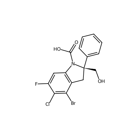 O=C(O)N1c2cc(F)c(Cl)c(Br)c2C[C@@]1(CO)c1ccccc1